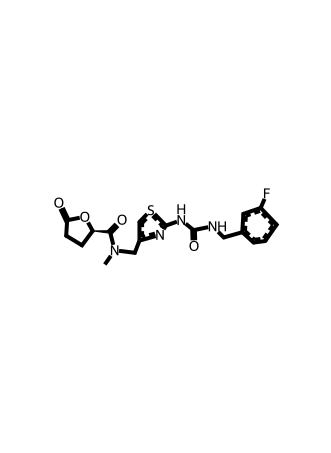 CN(Cc1csc(NC(=O)NCc2cccc(F)c2)n1)C(=O)[C@H]1CCC(=O)O1